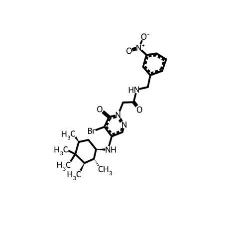 C[C@@H]1[C@@H](C)C(C)(C)[C@@H](C)C[C@H]1Nc1cnn(CC(=O)NCc2cccc([N+](=O)[O-])c2)c(=O)c1Br